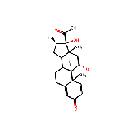 CC(=O)[C@@]1(O)[C@H](C)CC2C3CCC4=CC(=O)C=CC4(C)[C@@]3(F)[C@@H](O)CC21C